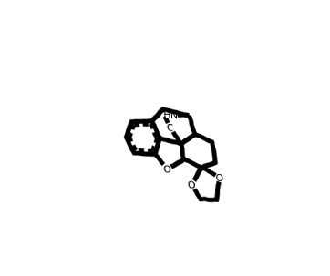 c1cc2c3c(c1)OC1C4(CCC5C(C2)NCCC351)OCCO4